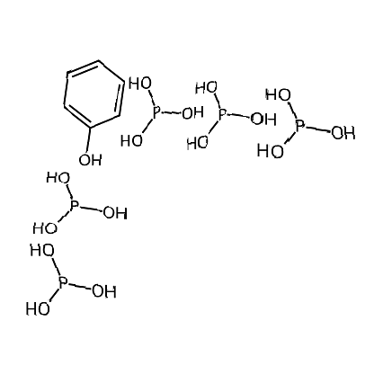 OP(O)O.OP(O)O.OP(O)O.OP(O)O.OP(O)O.Oc1ccccc1